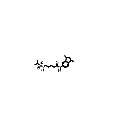 CC1CC(C)c2cc(NC(=O)CCCCNS(=O)(=O)C(C)C)ccc21